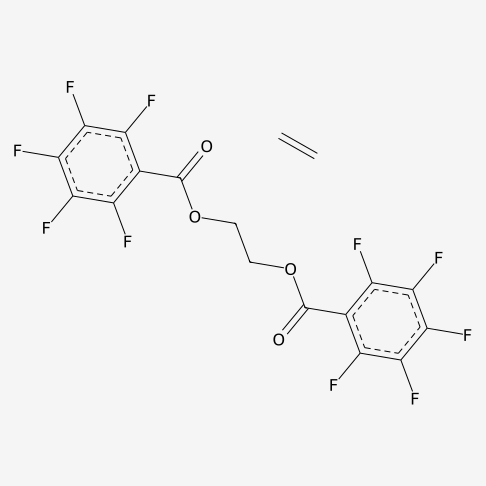 C=C.O=C(OCCOC(=O)c1c(F)c(F)c(F)c(F)c1F)c1c(F)c(F)c(F)c(F)c1F